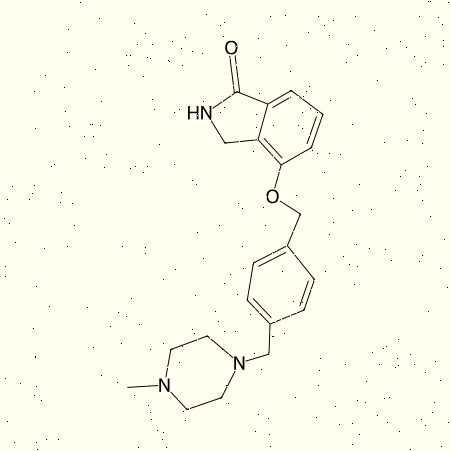 CN1CCN(Cc2ccc(COc3cccc4c3CNC4=O)cc2)CC1